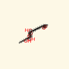 CCCCCC[C@H](O)CCC[C@H](O)[C@H]1CC[C@H]([C@H]2CC[C@H]([C@H](O)CCCCCCCCCCCCC3=C[C@H](C)OC3=O)O2)O1